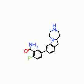 NC(=O)c1cc(-c2ccc3c(c2)N2CCNCCC2C3)ccc1F